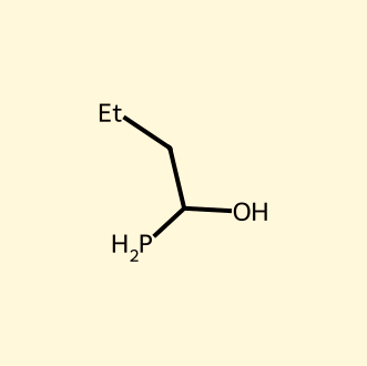 CCCC(O)P